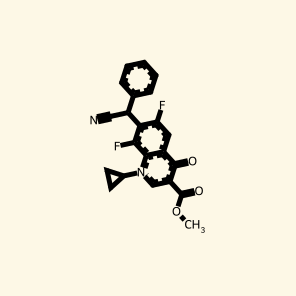 COC(=O)c1cn(C2CC2)c2c(F)c(C(C#N)c3ccccc3)c(F)cc2c1=O